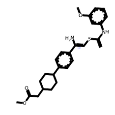 C=C(Nc1cccc(OC)c1)S/C=C(\N)c1ccc(C2CCC(CC(=O)OC)CC2)cc1